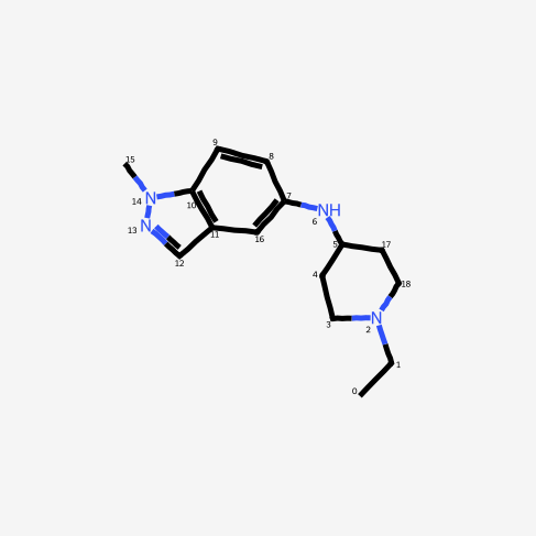 CCN1CCC(Nc2ccc3c(cnn3C)c2)CC1